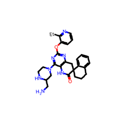 CCc1ncccc1Oc1nc2c(c(N3CCNC(CN)C3)n1)NC(=O)C1(CCCc3ccccc31)C2